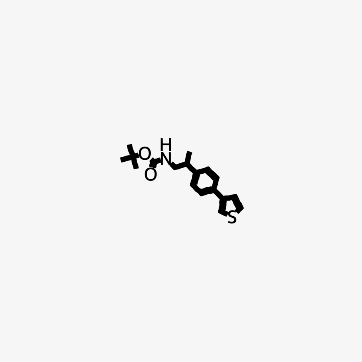 CC(CNC(=O)OC(C)(C)C)c1ccc(-c2ccsc2)cc1